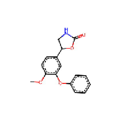 COc1ccc(C2CNC(=O)O2)cc1Oc1ccccc1